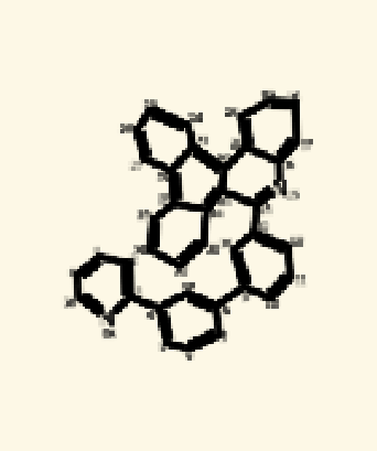 c1ccc(-c2cccc(-c3cccc(-c4nc5ccccc5c5c6ccccc6c6ccccc6c45)c3)c2)nc1